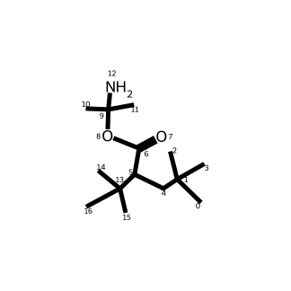 CC(C)(C)CC(C(=O)OC(C)(C)N)C(C)(C)C